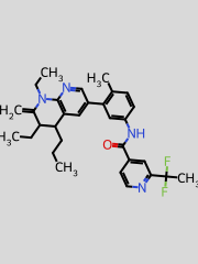 C=C1C(CC)C(CCC)c2cc(-c3cc(NC(=O)c4ccnc(C(C)(F)F)c4)ccc3C)cnc2N1CC